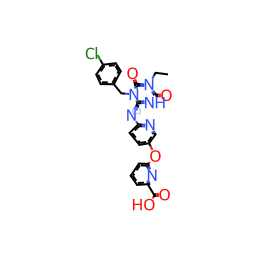 CCn1c(=O)[nH]/c(=N\c2ccc(Oc3cccc(C(=O)O)n3)cn2)n(Cc2ccc(Cl)cc2)c1=O